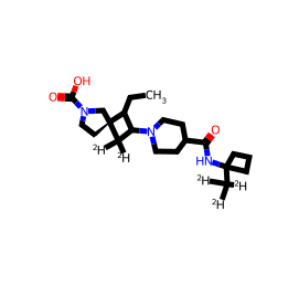 [2H]C([2H])([2H])C1(NC(=O)C2CCN(C3C(CC)[C@]4(CCN(C(=O)O)C4)C3([2H])[2H])CC2)CCC1